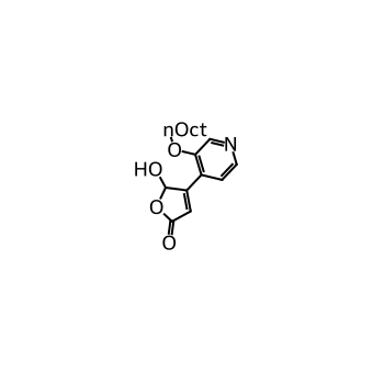 CCCCCCCCOc1cnccc1C1=CC(=O)OC1O